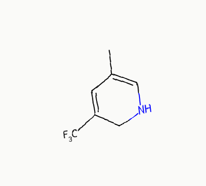 CC1=CNCC(C(F)(F)F)=C1